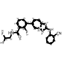 N#Cc1ccccc1Nc1nc2ccc(-c3cccc(C(=O)NCC(F)F)c3F)cn2n1